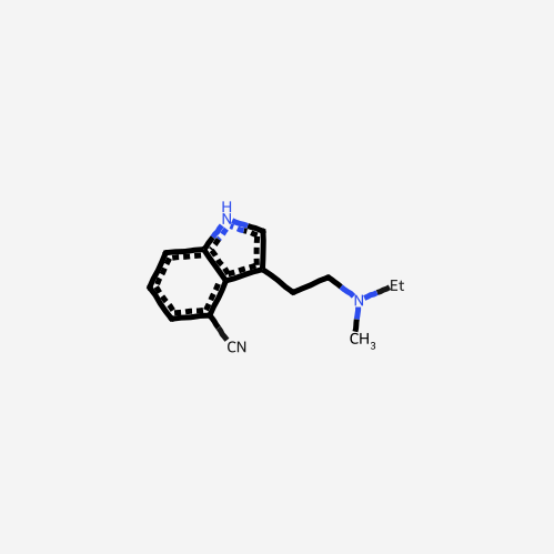 CCN(C)CCc1c[nH]c2cccc(C#N)c12